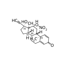 C#C[C@]1(O)CC[C@H]2[C@@H]3CCC4=CC(=O)C=C[C@]4(C)[C@H]3CC[C@@]21C.O=[N+]([O-])O